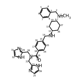 CN(Cc1ccccc1)[C@H]1CC[C@H](NCc2ccc(C(=O)N(Cc3ncc[nH]3)Cc3ncc[nH]3)cc2)CC1